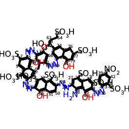 Cc1cc(/N=N\c2c(S(=O)(=O)O)cc3c(S(=O)(=O)O)c(/N=N\c4c(S(=O)(=O)O)cc5c(S(=O)(=O)O)c(N=Nc6cc(S(=O)(=O)O)c7cc(S(=O)(=O)O)c(/N=N\c8ccc([N+](=O)[O-])cc8S(=O)(=O)O)c(O)c7c6N)ccc5c4O)ccc3c2O)c(OCCCS(=O)(=O)O)cc1/N=N\c1cc(S(=O)(=O)O)cc2cc(S(=O)(=O)O)cc(O)c12